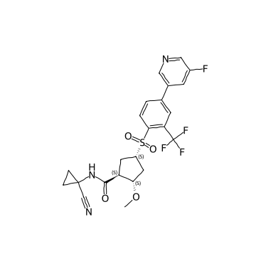 CO[C@H]1C[C@@H](S(=O)(=O)c2ccc(-c3cncc(F)c3)cc2C(F)(F)F)C[C@@H]1C(=O)NC1(C#N)CC1